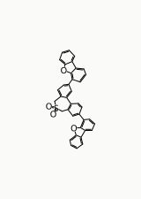 O=S1(=O)Cc2cc(-c3cccc4c3oc3ccccc34)ccc2-c2cc(-c3cccc4c3oc3ccccc34)ccc2C1